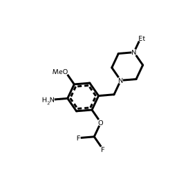 CCN1CCN(Cc2cc(OC)c(N)cc2OC(F)F)CC1